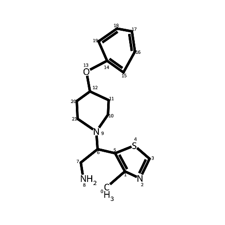 Cc1ncsc1C(CN)N1CCC(Oc2ccccc2)CC1